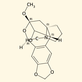 CO[C@]12C[C@]34CCCN3C[C@H](O1)c1cc3c(cc1[C@@H]4C2O)OCO3